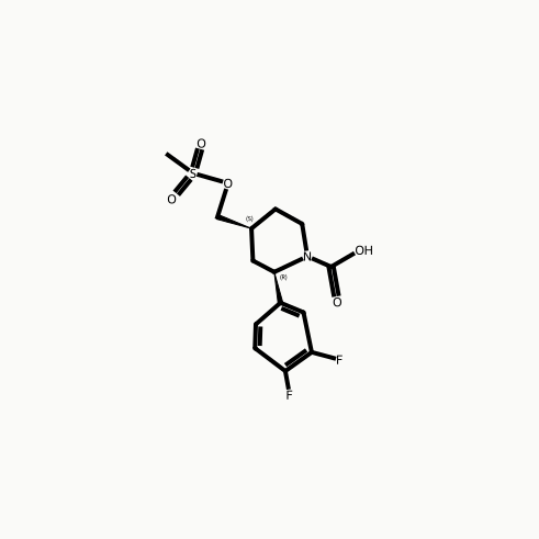 CS(=O)(=O)OC[C@H]1CCN(C(=O)O)[C@@H](c2ccc(F)c(F)c2)C1